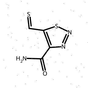 NC(=O)c1nnsc1C=S